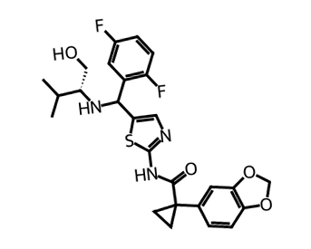 CC(C)[C@H](CO)NC(c1cnc(NC(=O)C2(c3ccc4c(c3)OCO4)CC2)s1)c1cc(F)ccc1F